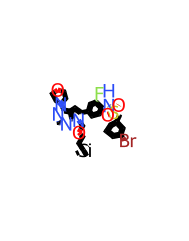 C[Si](C)(C)CCOCn1c(-c2ccc(NS(=O)(=O)Cc3cccc(Br)c3)c(F)c2)cc2c(N3CCOCC3)ncnc21